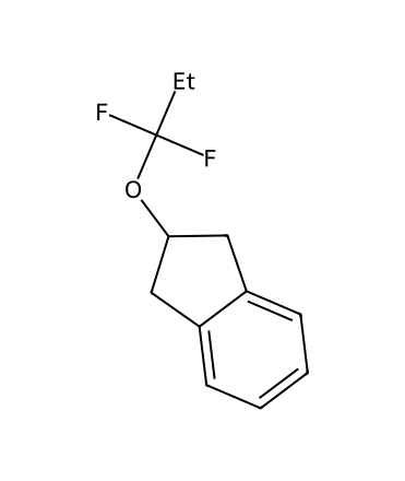 CCC(F)(F)OC1Cc2ccccc2C1